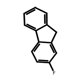 Fc1ccc2c(c1)Cc1c[c]ccc1-2